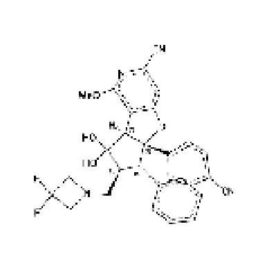 COc1nc(C#N)cc2c1[C@@H]1C(O)(O)[C@H](CN3CC(F)(F)C3)[C@@H](c3ccccc3)[C@@]1(c1ccc(C#N)cc1)O2